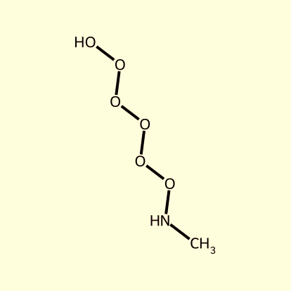 CNOOOOOO